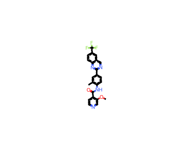 COc1cnccc1C(=O)Nc1ccc(-c2ncc3cc(C(F)(F)F)ccc3n2)cc1C